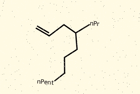 C=CCC(CCC)CCCCCCCC